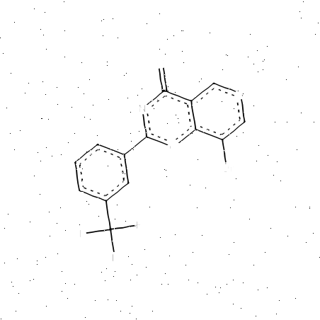 O=c1nc(-c2cccc(C(F)(F)F)c2)oc2c(Br)cncc12